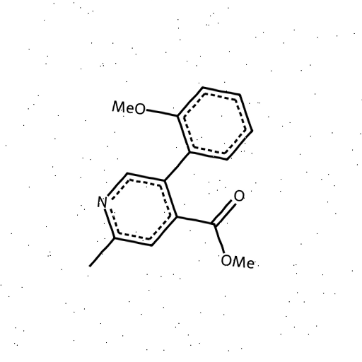 COC(=O)c1cc(C)ncc1-c1ccccc1OC